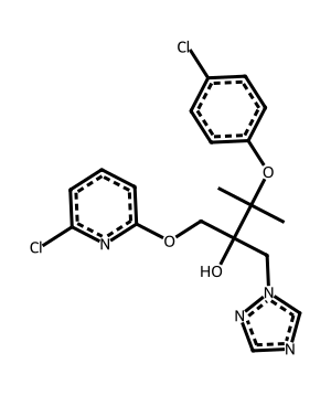 CC(C)(Oc1ccc(Cl)cc1)C(O)(COc1cccc(Cl)n1)Cn1cncn1